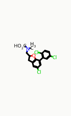 CN(CC1Cc2cc(Cl)cc(-c3cc(Cl)ccc3Cl)c2O1)C(=O)O